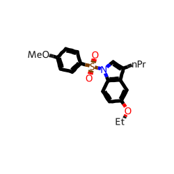 CCCc1cn(S(=O)(=O)c2ccc(OC)cc2)c2ccc(OCC)cc12